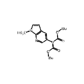 CC(C)(C)OC(=O)N(C(=O)OC(C)(C)C)c1cnc2c(ccn2C(=O)O)c1